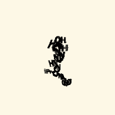 CC(C)c1ccc(N2CC(CS(C)(=O)=O)C2)c2cnc(Nc3ccnc(N4C[C@@H]5C[C@H]4C[C@@H]5O)n3)cc12